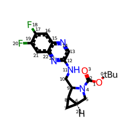 CC(C)(C)OC(=O)N1C[C@H]2CC2C1CNc1cnc2cc(F)c(F)cc2n1